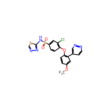 O=S(=O)(Nc1nncs1)c1ccc(Oc2ccc(OC(F)(F)F)cc2-c2ccnnc2)c(Cl)c1